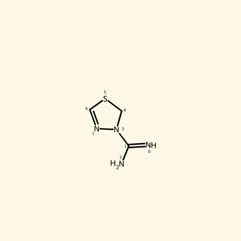 N=C(N)N1CSC=N1